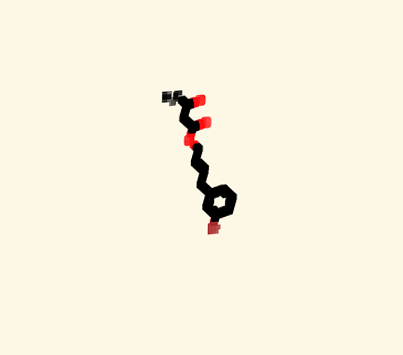 CC(=O)CC(=O)OCC=CCc1cccc(Br)c1